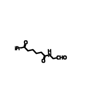 CC(C)C(=O)CCCCC(=O)NCC=O